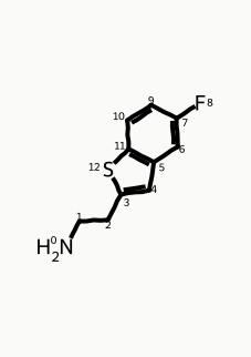 NCCc1cc2cc(F)ccc2s1